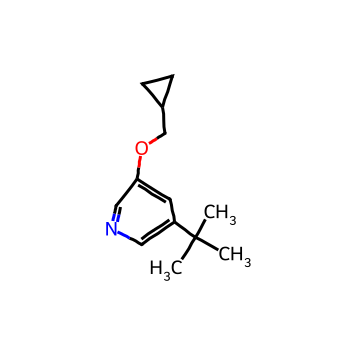 CC(C)(C)c1cncc(OCC2CC2)c1